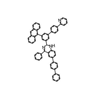 c1ccc(C2=NC(c3cc(-c4ccc(-c5ccccn5)cc4)cc(-c4c5ccccc5cc5ccccc45)c3)Nc3ccc(-c4ccc(-c5ccccc5)cc4)cc32)cc1